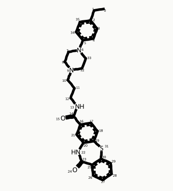 CCc1ccc(N2CCN(CCCNC(=O)c3ccc4c(c3)NC(=O)c3ccccc3S4)CC2)cc1